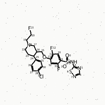 O=S(=O)(Nc1ncns1)c1cc(F)c(OCC2CN(CCF)CCC2c2ccc(Cl)cc2)cc1F